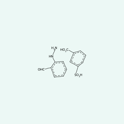 NNc1ccccc1C=O.O=C(O)c1cccc(S(=O)(=O)O)c1